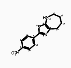 O=[N+]([O-])c1ccc(-c2nc3c(s2)NCCCC3)cc1